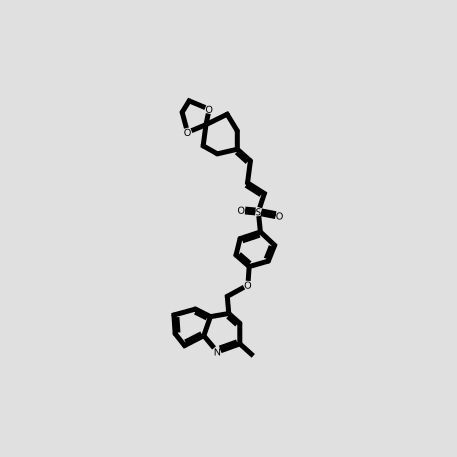 Cc1cc(COc2ccc(S(=O)(=O)C=CC=C3CCC4(CC3)OCCO4)cc2)c2ccccc2n1